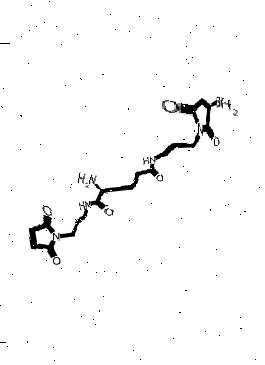 B[C@@H]1CC(=O)N(CCCNC(=O)CC[C@H](N)C(=O)NCCCN2C(=O)CCC2=O)C1=O